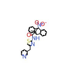 CC1(C(=O)Nc2nc(Cc3cccnc3)cs2)CC2([N+](=O)[O-])c3ccccc3C1c1ccccc12